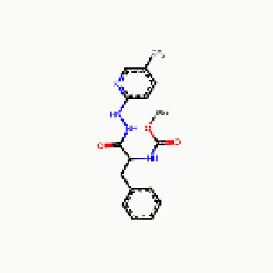 CC(C)(C)OC(=O)NC(Cc1ccccc1)C(=O)NNc1ccc(C(F)(F)F)cn1